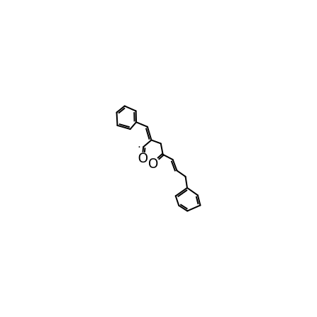 O=[C]C(=Cc1ccccc1)CC(=O)C=CCc1ccccc1